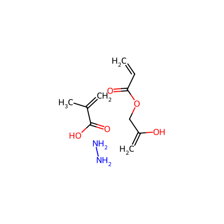 C=C(C)C(=O)O.C=CC(=O)OCC(=C)O.NN